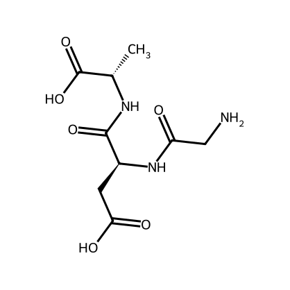 C[C@H](NC(=O)[C@H](CC(=O)O)NC(=O)CN)C(=O)O